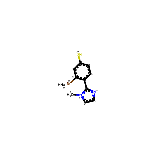 Cn1ccnc1-c1ccc(S)cc1Br.[NaH]